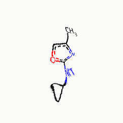 Cc1coc(NC2CC2)n1